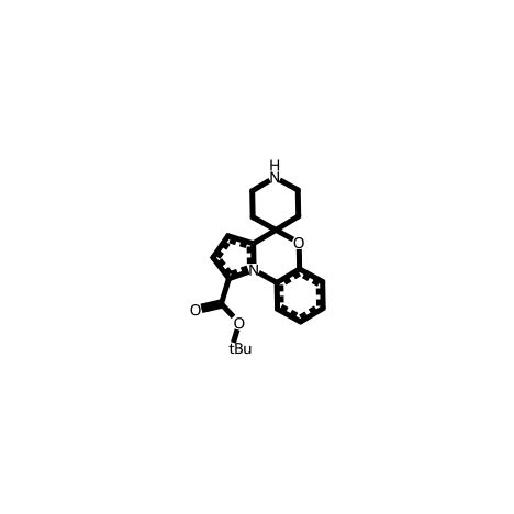 CC(C)(C)OC(=O)c1ccc2n1-c1ccccc1OC21CCNCC1